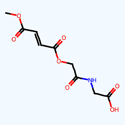 COC(=O)C=CC(=O)OCC(=O)NCC(=O)O